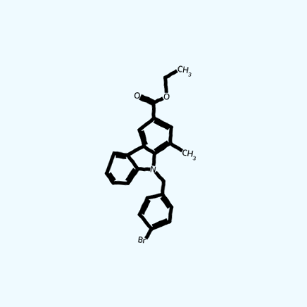 CCOC(=O)c1cc(C)c2c(c1)c1ccccc1n2Cc1ccc(Br)cc1